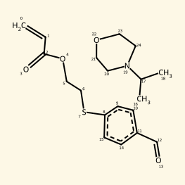 C=CC(=O)OCCSc1ccc(C=O)cc1.CC(C)N1CCOCC1